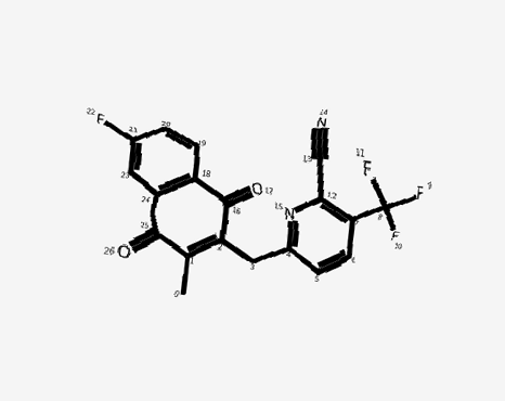 CC1=C(Cc2ccc(C(F)(F)F)c(C#N)n2)C(=O)c2ccc(F)cc2C1=O